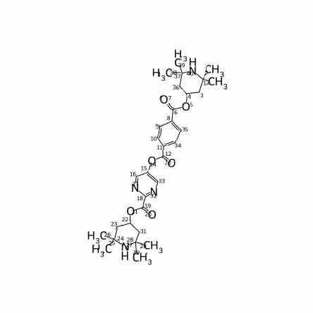 CC1(C)CC(OC(=O)c2ccc(C(=O)Oc3cnc(C(=O)OC4CC(C)(C)NC(C)(C)C4)nc3)cc2)CC(C)(C)N1